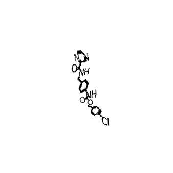 O=C(Nc1ccc(CNC(=O)c2cnccn2)cc1)OCc1ccc(Cl)cc1